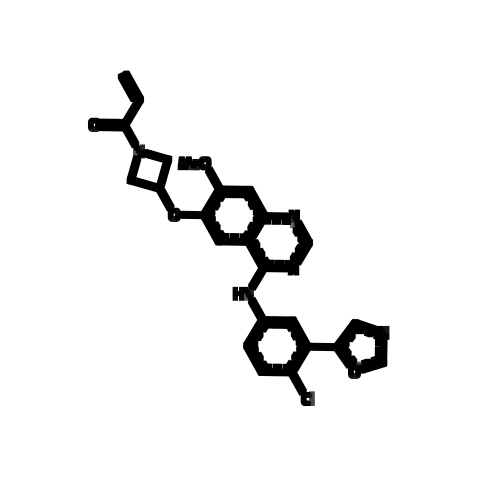 C=CC(=O)N1CC(Oc2cc3c(Nc4ccc(Cl)c(-c5cnco5)c4)ncnc3cc2OC)C1